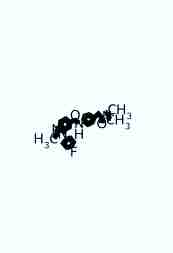 CCN(C)C(=O)Cc1ccc(NC(=O)c2ccc3nc(C)n(C4=CCC(F)C=C4)c3c2)cc1